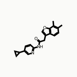 Cc1ccc2c(CC(=O)Nc3ccc(C4CC4)cn3)coc2c1C